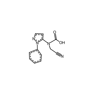 N#CCN(C(=O)O)c1ccnn1-c1ccccc1